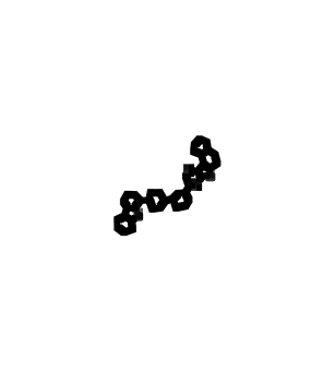 c1cc(-c2ccc(-c3cccc4c3sc3ccccc34)cc2)cc(-c2cnc3c(n2)sc2ccc4ccccc4c23)c1